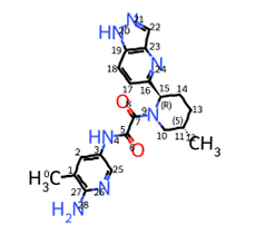 Cc1cc(NC(=O)C(=O)N2C[C@@H](C)CC[C@@H]2c2ccc3[nH]ncc3n2)cnc1N